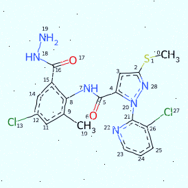 CSc1cc(C(=O)Nc2c(C)cc(Cl)cc2C(=O)NN)n(-c2ncccc2Cl)n1